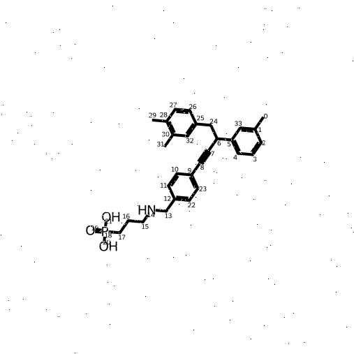 Cc1cccc(C(C#Cc2ccc(CNCCCP(=O)(O)O)cc2)Cc2ccc(C)c(C)c2)c1